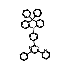 c1ccc(-c2cc(-c3ccccn3)nc(-c3ccc(N4c5ccccc5C(c5ccccc5)(c5ccccc5)c5ccccc54)cc3)n2)cc1